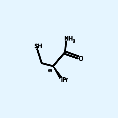 CC(C)[C@@H](CS)C(N)=O